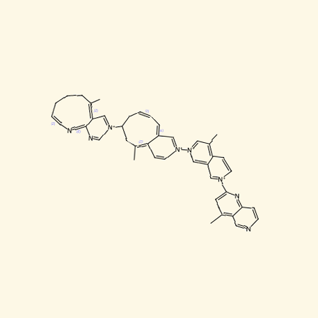 C\C1=c2/cc[n+](-[n+]3cc(C)c4cc[n+](-c5cc(C)c6cnccc6n5)cc4c3)c/c2=C/C=C\CC([n+]2cnc3/c(c2)=C(/C)CCC/C=C\N=3)C1